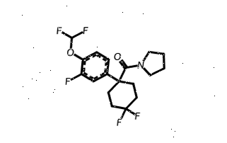 O=C(N1CCCC1)C1(c2ccc(OC(F)F)c(F)c2)CCC(F)(F)CC1